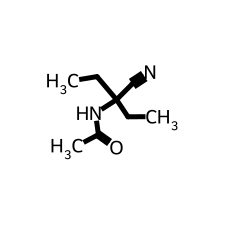 CCC(C#N)(CC)NC(C)=O